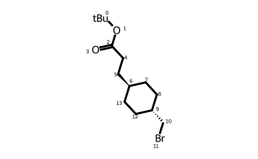 CC(C)(C)OC(=O)CC[C@H]1CC[C@H](CBr)CC1